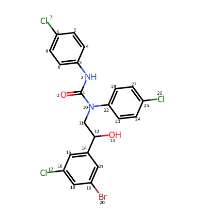 O=C(Nc1ccc(Cl)cc1)N(CC(O)c1cc(Cl)cc(Br)c1)c1ccc(Cl)cc1